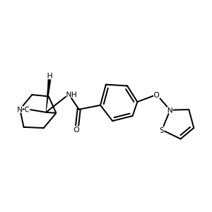 O=C(N[C@H]1CN2CCC1CC2)c1ccc(ON2CC=CS2)cc1